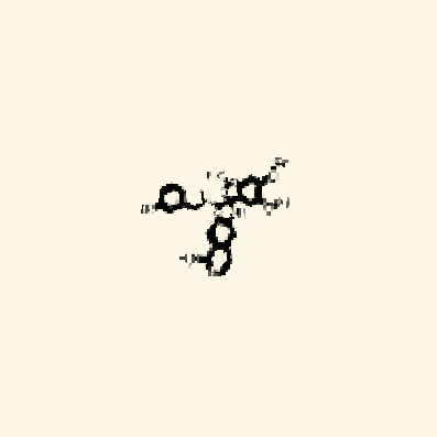 CCOc1cc(C(Nc2ccc3c(N)nccc3c2)(OC(=O)C(F)(F)F)C(=O)NCc2cccc(C#N)c2)ccc1OC(C)C